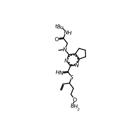 BOCCC(C=C)SC(=N)c1nc2c(c(N(C)CC(=O)NC(C)(C)C)n1)CCC2